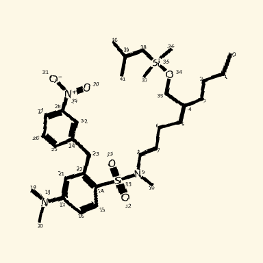 CCCCC(CCCCN(C)S(=O)(=O)c1ccc(N(C)C)cc1Cc1cccc([N+](=O)[O-])c1)CO[Si](C)(C)CC(C)C